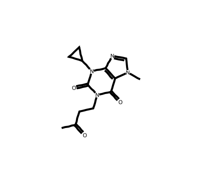 CC(=O)CCn1c(=O)c2c(ncn2C)n(C2CC2)c1=O